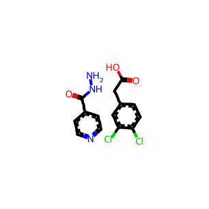 NNC(=O)c1ccncc1.O=C(O)Cc1ccc(Cl)c(Cl)c1